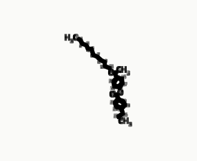 CCCCCCCCCCCCOC(C)c1ccc(OC(=O)c2ccc(CCC)cc2)cc1